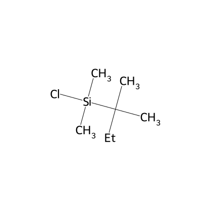 CCC(C)(C)[Si](C)(C)Cl